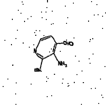 CC(C)(C)c1nccc(C=O)c1N